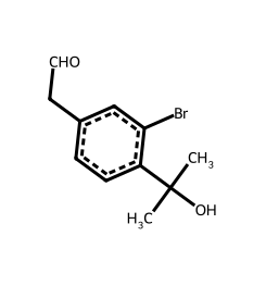 CC(C)(O)c1ccc(CC=O)cc1Br